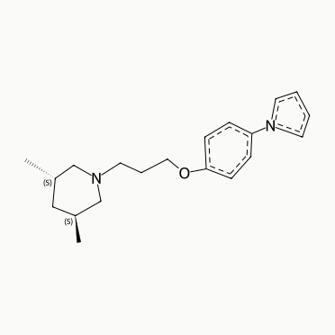 C[C@H]1C[C@H](C)CN(CCCOc2ccc(-n3cccc3)cc2)C1